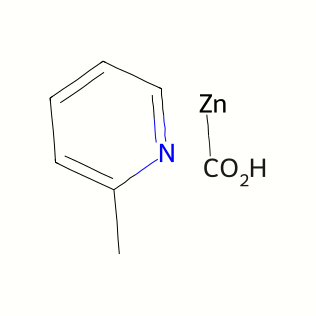 Cc1ccccn1.O=[C](O)[Zn]